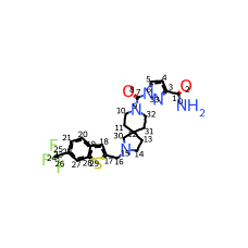 NC(=O)c1ccn(C(=O)N2CCC3(CCN(Cc4cc5ccc(C(F)(F)F)cc5s4)C3)CC2)n1